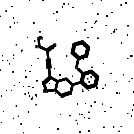 CCCNC(=O)C#CC1=CNC2N=CC(c3ccccc3Oc3ccccc3)CC12